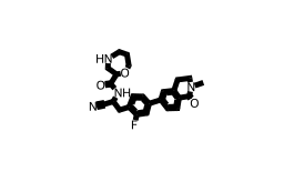 CN1CCc2cc(-c3ccc(CC(C#N)NC(=O)C4CNCCCO4)c(F)c3)ccc2C1=O